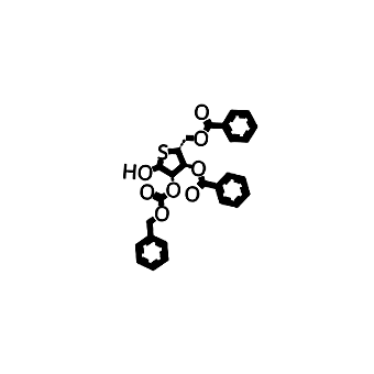 O=C(OCc1ccccc1)O[C@@H]1C(O)S[C@H](COC(=O)c2ccccc2)[C@H]1OC(=O)c1ccccc1